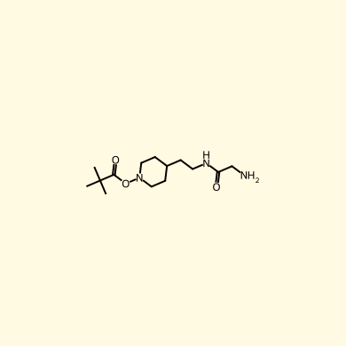 CC(C)(C)C(=O)ON1CCC(CCNC(=O)CN)CC1